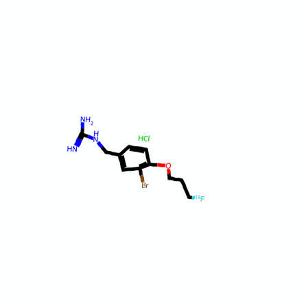 Cl.N=C(N)NCc1ccc(OCCC[18F])c(Br)c1